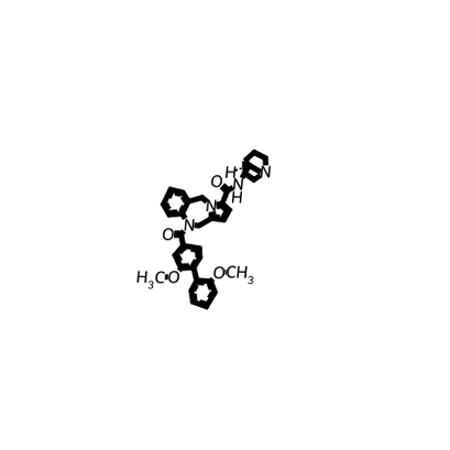 COc1ccccc1-c1ccc(C(=O)N2Cc3ccc(C(=O)N[C@@H]4CN5CCC4CC5)n3Cc3ccccc32)cc1OC